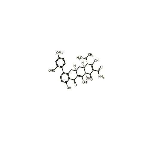 COc1ccc(-c2ccc(O)c3c2C[C@H]2C[C@H]4[C@H](N(C)C)C(O)=C(C(N)=O)C(=O)[C@@]4(O)C(O)=C2C3=O)c(C=O)c1